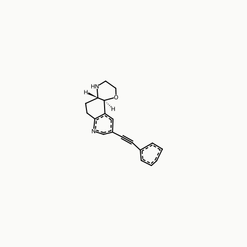 C(#Cc1cnc2c(c1)[C@@H]1OCCN[C@H]1CC2)c1ccccc1